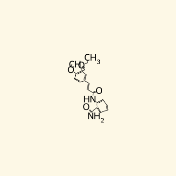 CCOc1cc(C=CC(=O)Nc2ccccc2C(N)=O)ccc1OC